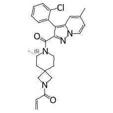 C=CC(=O)N1CC2(CCN(C(=O)c3nn4ccc(C)cc4c3-c3ccccc3Cl)[C@@H](C)C2)C1